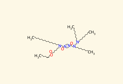 CCCC/C=C\COC(=O)CCCCCN(CCCCCCCCCCCCCCCC)CC(=O)N1CCN(C(=O)CN(CCCCCCCCC)CCN(CCCCCCCCC)CCCCCCCCC)CC1